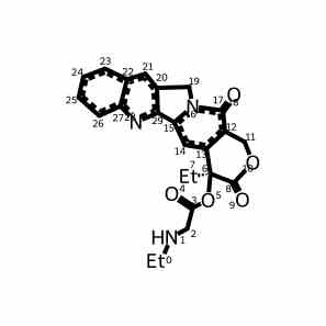 CCNCC(=O)O[C@]1(CC)C(=O)OCc2c1cc1n(c2=O)Cc2cc3ccccc3nc2-1